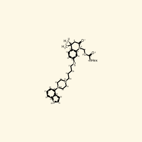 CCCCCCC(=O)OCN1C(=O)CC(C)(C)c2ccc(OCCCCN3CCN(c4cccc5sccc45)CC3)cc21